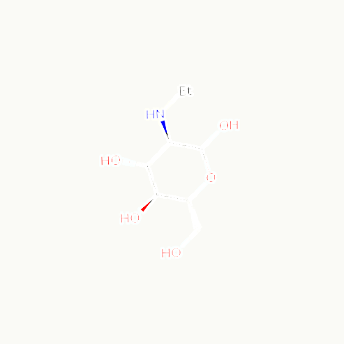 CCN[C@H]1C(O)O[C@H](CO)[C@@H](O)[C@@H]1O